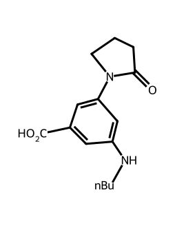 CCCCNc1cc(C(=O)O)cc(N2CCCC2=O)c1